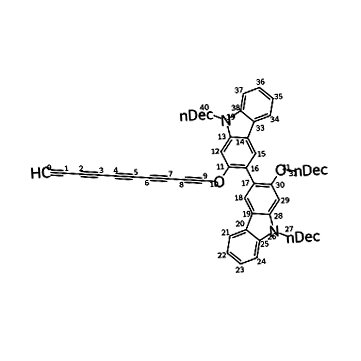 C#CC#CC#CC#CC#COc1cc2c(cc1-c1cc3c4ccccc4n(CCCCCCCCCC)c3cc1OCCCCCCCCCC)c1ccccc1n2CCCCCCCCCC